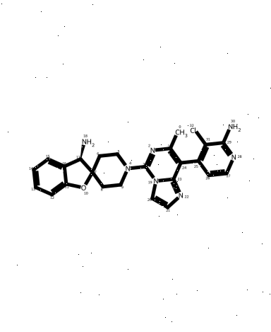 Cc1nc(N2CCC3(CC2)Oc2ccccc2[C@H]3N)n2ccnc2c1-c1ccnc(N)c1Cl